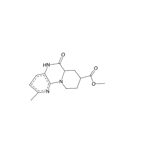 COC(=O)C1CCN2c3nc(C)ccc3NC(=O)C2C1